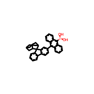 OB(O)c1c2ccccc2c(-c2ccc3c(c2)C2(c4ccccc4-3)C3CC4CC(C3)C2C4)c2ccccc12